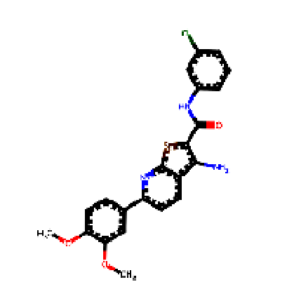 COc1ccc(-c2ccc3c(N)c(C(=O)Nc4cccc(Cl)c4)sc3n2)cc1OC